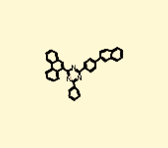 c1ccc(-c2nc(-c3ccc(-c4ccc5ccccc5c4)cc3)nc(-c3cc4ccccc4c4ccccc34)n2)cc1